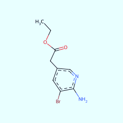 CCOC(=O)Cc1cnc(N)c(Br)c1